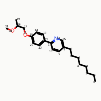 CCCCCCCCc1ccc(-c2ccc(OCC(C)OC)cc2)nc1